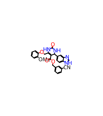 COc1ccccc1OCC1=C(C(=O)OCc2cccc(C#N)c2)C(c2ccc3[nH]cnc3c2)NC(=O)N1